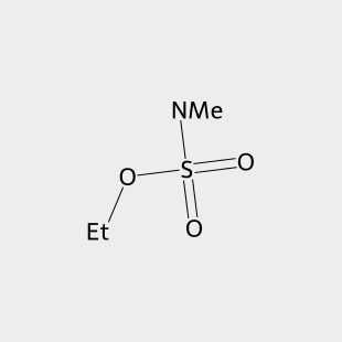 CCOS(=O)(=O)NC